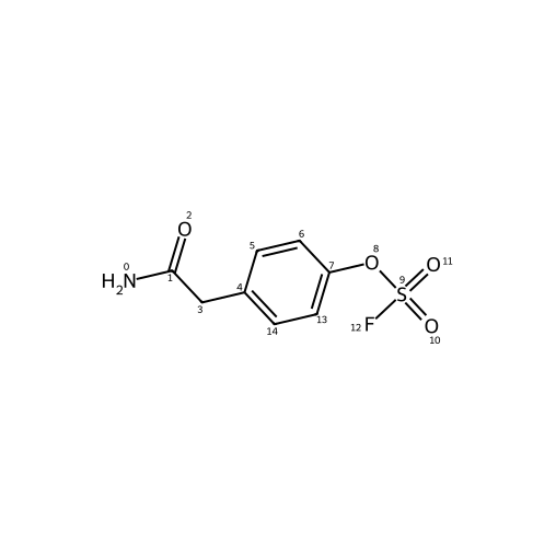 NC(=O)Cc1ccc(OS(=O)(=O)F)cc1